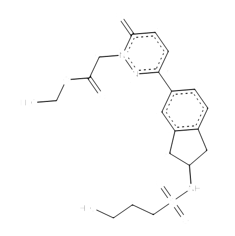 CCCCS(=O)(=O)NC1Cc2ccc(-c3ccc(=O)n(CC(=O)OCC)n3)cc2C1